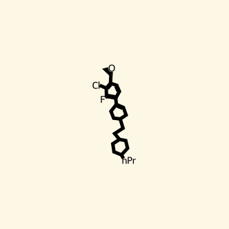 CCCC1CCC(CCC2CC=C(c3ccc(C4CO4)c(Cl)c3F)CC2)CC1